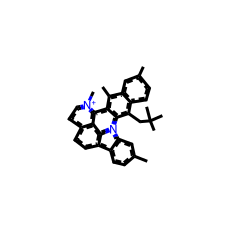 Cc1ccc2c(CC(C)(C)C)c3c(c(C)c2c1)c1c2c(ccc4c5ccc(C)cc5n3c42)cc[n+]1C